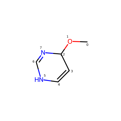 CO[C]1C=CNC=N1